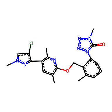 Cc1cc(-c2nn(C)cc2Cl)c(C)nc1OCc1c(C)cccc1-n1nnn(C)c1=O